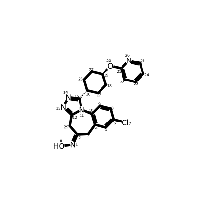 ON=C1Cc2cc(Cl)ccc2-n2c(nnc2[C@H]2CC[C@H](Oc3ccccn3)CC2)C1